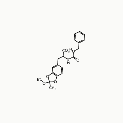 CCOC1(C)Oc2ccc(CC(NC(=O)OCc3ccccc3)C(=O)O)cc2O1